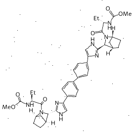 CC[C@H](NC(=O)OC)C(=O)N1[C@@H]2CC[C@@H](C2)[C@H]1c1nc(-c2ccc(-c3ccc(-c4c[nH]c([C@@H]5[C@H]6CC[C@H](C6)N5C(=O)[C@H](CC)NC(=O)OC)n4)cc3)cc2)c[nH]1